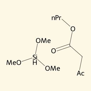 CCCOC(=O)CC(C)=O.CO[SiH](OC)OC